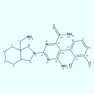 NCC12CCCCC1CN(c1nc(N)c(-c3cccc(Cl)c3Cl)c(C(N)=O)n1)C2